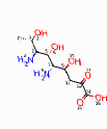 C[C@H](O)[C@H](N)[C@H](O)[C@@H](N)[C@@H](O)CC(=O)C(=O)O